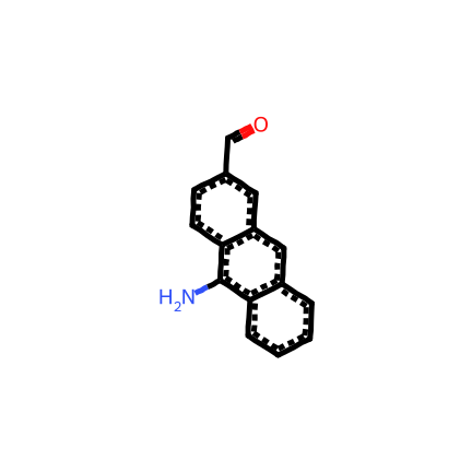 Nc1c2ccccc2cc2cc(C=O)ccc12